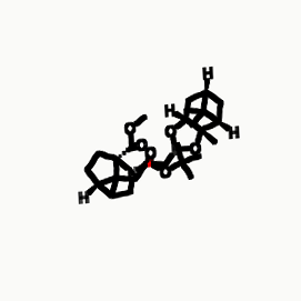 COC(=O)[C@]12CC[C@H]3C(CN1C(=O)OC(C)(C)C)C32CCCB1O[C@@H]2C[C@@H]3C[C@@H](C3(C)C)[C@]2(C)O1